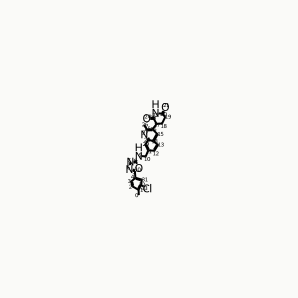 Cc1ccc(-c2nnc(NCc3ccc4cc(C5CCC(=O)NC5=O)c(C)nc4c3)o2)cc1Cl